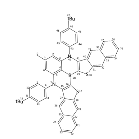 Cc1cc2c3c(c1)N(c1ccc(C(C)(C)C)cc1)c1c(sc4cc5ccccc5cc14)B3c1sc3cc4ccccc4cc3c1N2c1ccc(C(C)(C)C)cc1